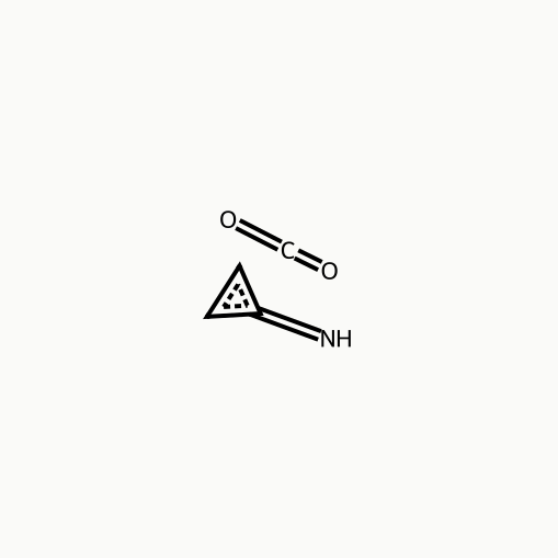 N=c1cc1.O=C=O